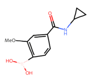 COc1cc(C(=O)NC2CC2)ccc1B(O)O